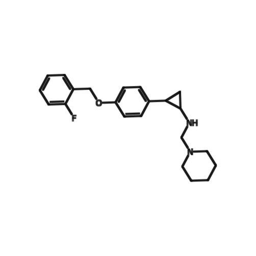 Fc1ccccc1COc1ccc(C2CC2NCN2CCCCC2)cc1